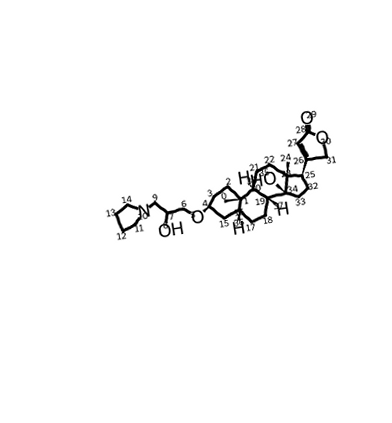 C[C@]12CC[C@H](OCC(O)CN3CCCC3)C[C@H]1CC[C@@H]1[C@@H]2CC[C@]2(C)[C@@H](C3=CC(=O)OC3)CC[C@]12O